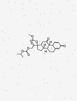 COC(=O)O[C@]1(C(=O)COC(=O)OC(C)C)CC[C@H]2[C@@H]3CCC4=CC(=O)C=C[C@]4(C)[C@H]3C(=O)C[C@@]21C